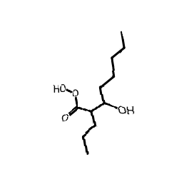 CCCCCC(O)C(CCC)C(=O)OO